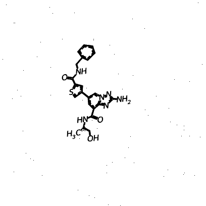 C[C@@H](CO)NC(=O)c1cc(-c2csc(C(=O)NCc3ccccc3)c2)cn2nc(N)nc12